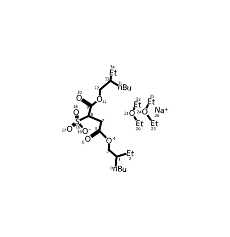 CCCCC(CC)COC(=O)CC(C(=O)OCC(CC)CCCC)S(=O)(=O)[O-].CCOCC.CCOCC.[Na+]